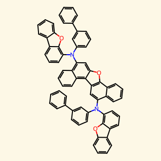 c1ccc(-c2cccc(N(c3cc4c(oc5cc(N(c6cccc(-c7ccccc7)c6)c6cccc7c6oc6ccccc67)c6ccccc6c54)c4ccccc34)c3cccc4c3oc3ccccc34)c2)cc1